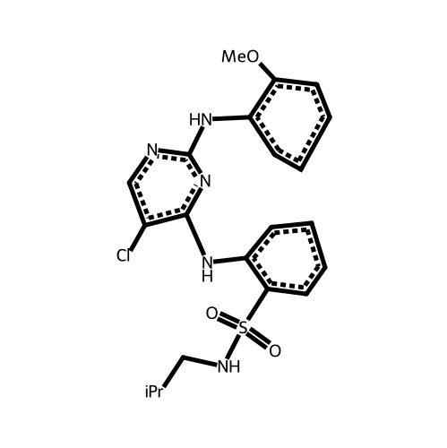 COc1ccccc1Nc1ncc(Cl)c(Nc2ccccc2S(=O)(=O)NCC(C)C)n1